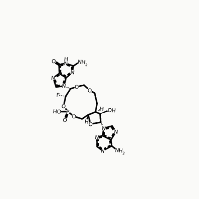 Nc1nc2c(ncn2[C@@H]2OCOCC[C@H]3[C@@H](O)[C@H](n4cnc5c(N)ncnc54)O[C@@H]3COP(=O)(O)O[C@@H]2F)c(=O)[nH]1